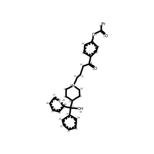 CC(C)C(=O)Oc1ccc(C(=O)CCCN2CCC(C(O)(c3ccccc3)c3ccccc3)CC2)cc1